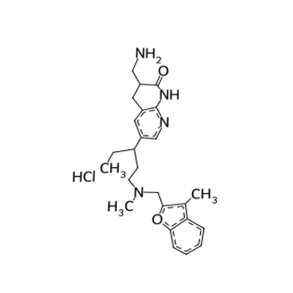 CCC(CCN(C)Cc1oc2ccccc2c1C)c1cnc2c(c1)CC(CN)C(=O)N2.Cl